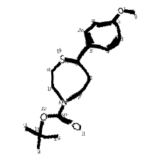 COc1ccc(C2CCN(C(=O)OC(C)(C)C)CCS2)cc1